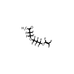 CC(=O)C(F)(F)C(F)(F)OC(F)(F)C(F)(F)C(F)(F)OC(F)=C(F)F